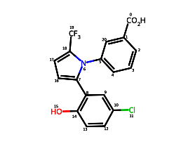 O=C(O)c1cccc(-n2c(-c3cc(Cl)ccc3O)ccc2C(F)(F)F)c1